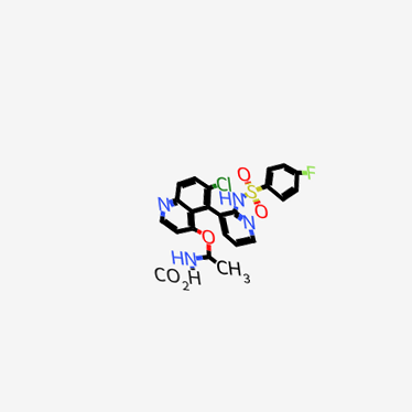 CC(NC(=O)O)Oc1ccnc2ccc(Cl)c(-c3cccnc3NS(=O)(=O)c3ccc(F)cc3)c12